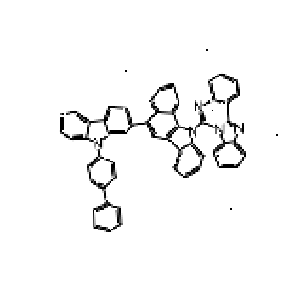 c1ccc(-c2ccc(-n3c4ccccc4c4ccc(-c5cc6c7ccccc7n(-c7nc8ccccc8c8nc9ccccc9n78)c6c6ccccc56)cc43)cc2)cc1